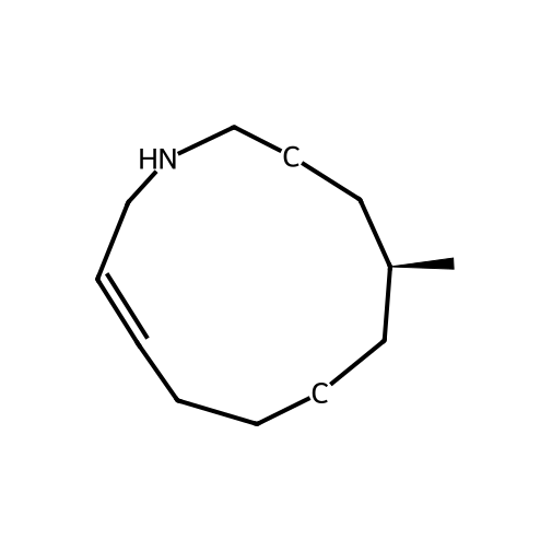 C[C@H]1CCCC/C=C\CNCCC1